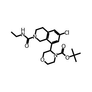 CCNC(=O)N1CCc2cc(Cl)cc(C3COCCN3C(=O)OC(C)(C)C)c2C1